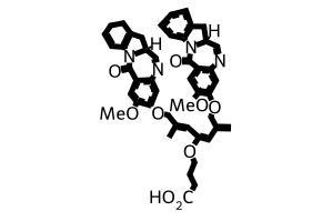 C=C(/C=C(\C=C(/C)COc1cc2c(cc1OC)C(=O)N1C3=C(CCC=C3)C[C@H]1C=N2)OCCCC(=O)O)COc1cc2c(cc1OC)C(=O)N1c3ccccc3C[C@H]1C=N2